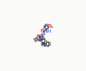 COc1cc(NC(=O)CCN2CC3(CCC(c4ccccc4)(N(C)C)CC3)N(CC3CCC3)C2=O)ccn1